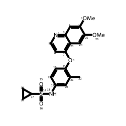 COc1cc2nccc(Oc3ccc(NS(=O)(=O)C4CC4)cc3C)c2cc1OC